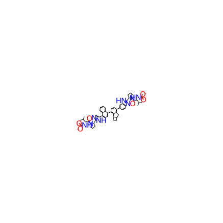 COC(=O)NC(C(=O)N1CCCC1c1ncc(-c2ccc(-c3ccc(-c4ccc5nc(C6CCCN6C(=O)C(NC(=O)OC)C(C)C)[nH]c5c4)c4c3C3CCC3C4)c3ccccc23)[nH]1)C(C)C